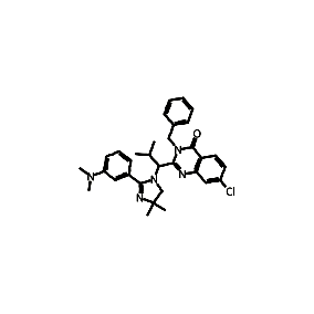 CC(C)C(c1nc2cc(Cl)ccc2c(=O)n1Cc1ccccc1)N1CC(C)(C)N=C1c1cccc(N(C)C)c1